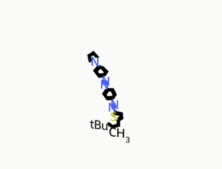 CC(Cc1ccc(/N=N/c2ccc(/N=N/c3ccc(N4CCCC4)cc3)cc2)s1)CC(C)(C)C